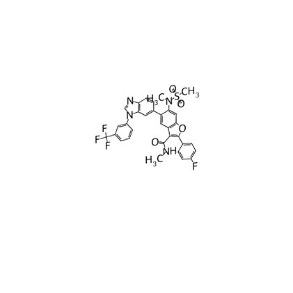 CNC(=O)c1c(-c2ccc(F)cc2)oc2cc(N(C)S(C)(=O)=O)c(-c3ccc4ncn(-c5cccc(C(F)(F)F)c5)c4c3)cc12